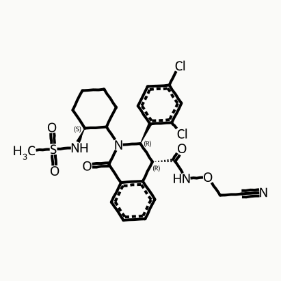 CS(=O)(=O)N[C@H]1CCCCC1N1C(=O)c2ccccc2[C@@H](C(=O)NOCC#N)[C@@H]1c1ccc(Cl)cc1Cl